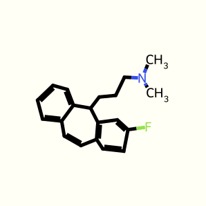 CN(C)CCCC1c2ccccc2C=Cc2ccc(F)cc21